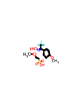 COCCS(=O)(=O)O.COc1ccc(/C(=N/O)C(F)(F)F)cc1